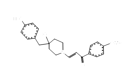 COc1ccc(C(=O)/C=C/N2CCC(O)(Cc3ccc(C)cc3)CC2)cc1